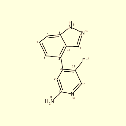 Nc1cc(-c2cccc3[nH]ncc23)c(F)cn1